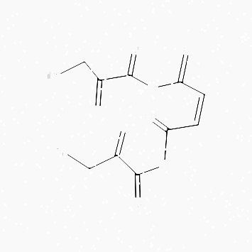 C=C(CC(C)C)C(=O)OC(=O)/C=C\C(=O)OC(=O)C(=C)CC(C)C